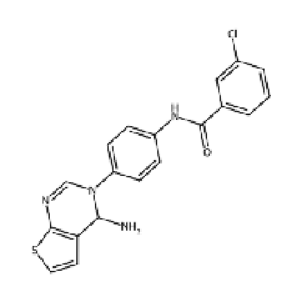 NC1c2ccsc2N=CN1c1ccc(NC(=O)c2cccc(Cl)c2)cc1